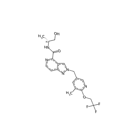 Cc1cc(Cn2cc3c(C(=O)N[C@H](C)CO)nccc3n2)cnc1OCC(F)(F)F